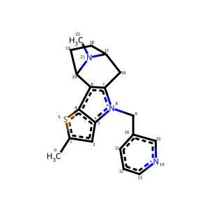 Cc1cc2c(s1)c1c(n2Cc2cccnc2)CC2CCC1N2C